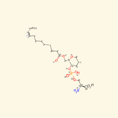 CCCCCCCC/C=C\CCCCCCCC(=O)OCC1OCCCC1OP(=O)(O)OC[C@H](N)C(=O)O